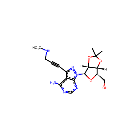 CC1(C)O[C@@H]2[C@H](O1)[C@@H](CO)O[C@H]2n1nc(C#CCNC(=O)O)c2c(N)ncnc21